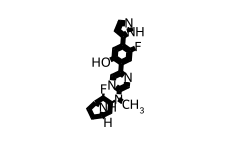 CN(c1cnc(-c2cc(F)c(-c3ccn[nH]3)cc2O)cn1)[C@H]1C[C@@H]2CCC(N2)[C@H]1F